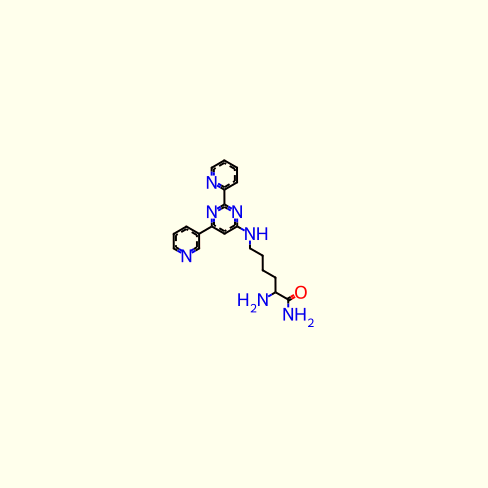 NC(=O)C(N)CCCCNc1cc(-c2cccnc2)nc(-c2ccccn2)n1